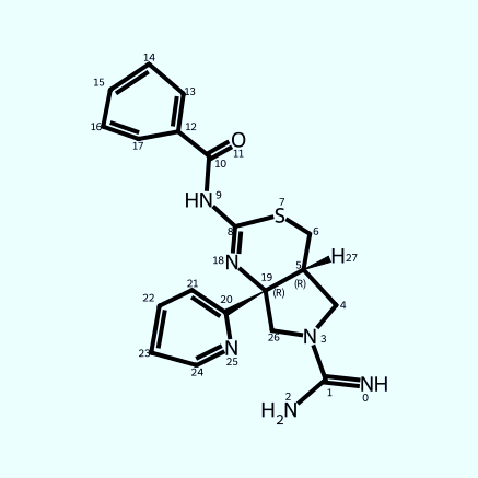 N=C(N)N1C[C@H]2CSC(NC(=O)c3ccccc3)=N[C@@]2(c2ccccn2)C1